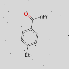 [CH2]CCC(=O)c1ccc(CC)cc1